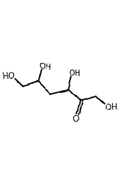 O=C(CO)C(O)CC(O)CO